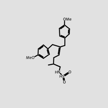 COc1ccc(CC(=CCC(C)CN[SH](=O)=O)Cc2ccc(OC)cc2)cc1